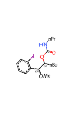 CCCC[C@H](OC(=O)NCCC)[C@@H](OC)c1ccccc1I